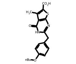 CCCCOc1ccc(Cc2nc3sc(C(=O)O)c(C)c3c(=O)[nH]2)cc1